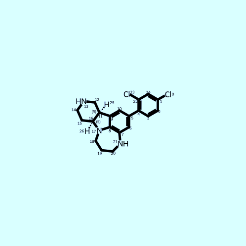 Clc1ccc(-c2cc3c4c(c2)[C@@H]2CNCC[C@@H]2N4CCCN3)c(Cl)c1